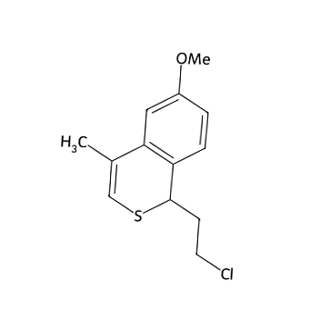 COc1ccc2c(c1)C(C)=CSC2CCCl